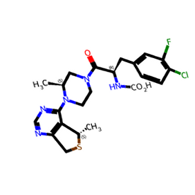 C[C@@H]1SCc2ncnc(N3CCN(C(=O)[C@@H](Cc4ccc(Cl)c(F)c4)NC(=O)O)C[C@@H]3C)c21